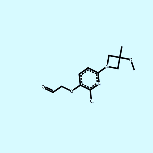 COC1(C)CN(c2ccc(OCC=O)c(Cl)n2)C1